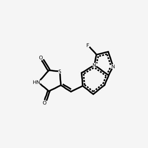 O=C1NC(=O)C(=Cc2ccc3ncc(F)n3c2)S1